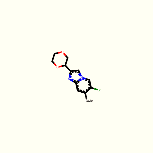 COc1cc2nc(C3COCCO3)cn2cc1Br